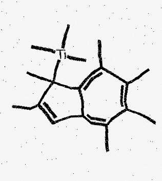 CC1=Cc2c(C)c(C)c(C)c(C)c2[C]1(C)[Ti]([CH3])([CH3])[CH3]